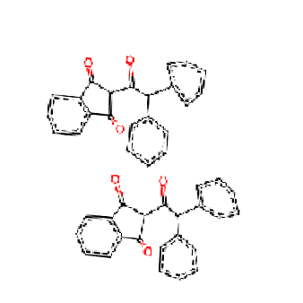 O=C1c2ccccc2C(=O)C1C(=O)C(c1ccccc1)c1ccccc1.O=C1c2ccccc2C(=O)C1C(=O)C(c1ccccc1)c1ccccc1